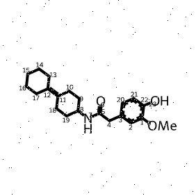 COc1cc(CC(=O)NC2CCC(=C3CCCCC3)CC2)ccc1O